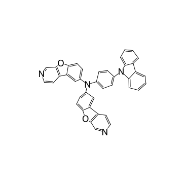 c1ccc2c(c1)c1ccccc1n2-c1ccc(N(c2ccc3oc4cnccc4c3c2)c2ccc3oc4cnccc4c3c2)cc1